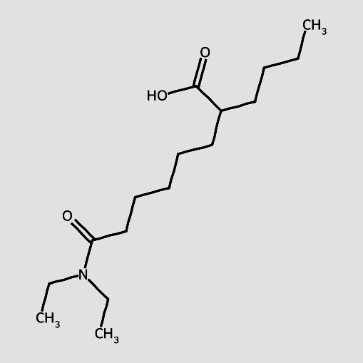 CCCCC(CCCCCC(=O)N(CC)CC)C(=O)O